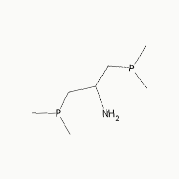 CP(C)CC(N)CP(C)C